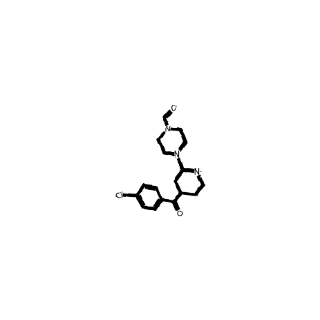 O=CN1CCN(C2CC(C(=O)c3ccc(Cl)cc3)CC[N]2)CC1